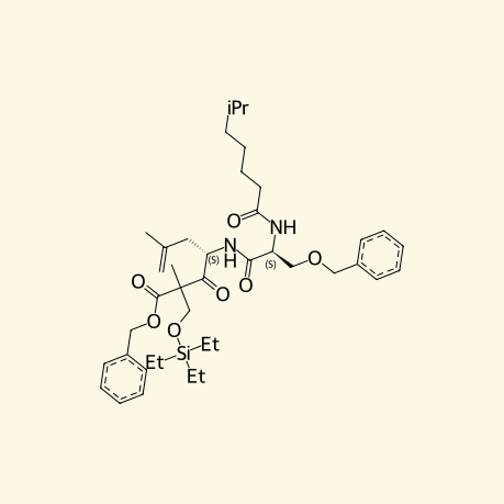 C=C(C)C[C@H](NC(=O)[C@H](COCc1ccccc1)NC(=O)CCCCC(C)C)C(=O)C(C)(CO[Si](CC)(CC)CC)C(=O)OCc1ccccc1